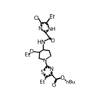 CCCCOC(=O)c1nc(N2CCC(NC(=O)c3nc(Cl)c(CC)[nH]3)C(OCC)C2)sc1CC